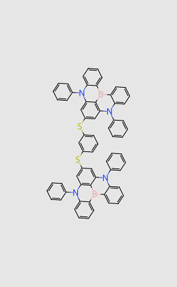 c1ccc(N2c3ccccc3B3c4ccccc4N(c4ccccc4)c4cc(Sc5cccc(Sc6cc7c8c(c6)N(c6ccccc6)c6ccccc6B8c6ccccc6N7c6ccccc6)c5)cc2c43)cc1